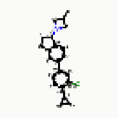 CC1CN(C2CCc3cc(-c4ccc(C5CC5)c(F)c4)ccc32)C1